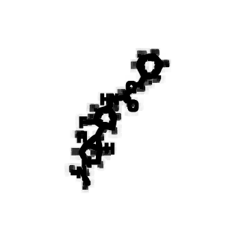 CN(C)N1C[C@@H]2C(c3ccc(NC(=O)OCc4ccccc4)cc3F)[C@@H]2C1